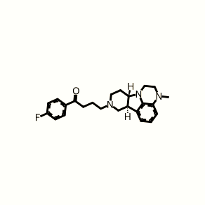 CN1CCN2c3c(cccc31)[C@H]1CN(CCCC(=O)c3ccc(F)cc3)CC[C@@H]12